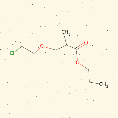 CCCOC(=O)C(C)COCCCl